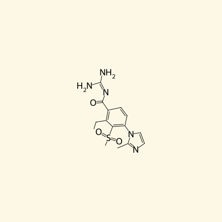 CCc1c(C(=O)N=C(N)N)ccc(-n2ccnc2C)c1S(C)(=O)=O